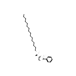 CCCCCCCCCCCCCCCCNC(=O)[C@@H]1CSC(c2ccccc2)N1